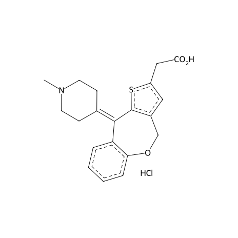 CN1CCC(=C2c3ccccc3OCc3cc(CC(=O)O)sc32)CC1.Cl